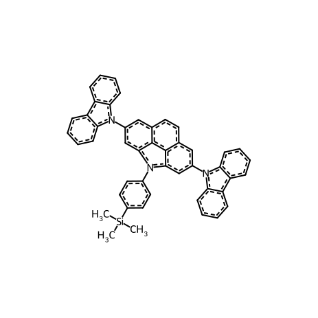 C[Si](C)(C)c1ccc(-n2c3cc(-n4c5ccccc5c5ccccc54)cc4ccc5cc(-n6c7ccccc7c7ccccc76)cc2c5c43)cc1